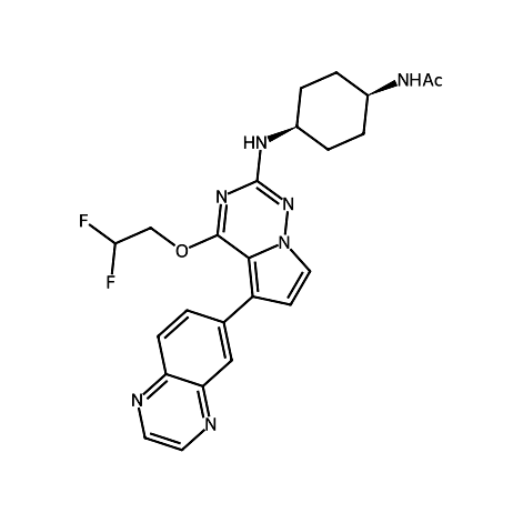 CC(=O)N[C@H]1CC[C@@H](Nc2nc(OCC(F)F)c3c(-c4ccc5nccnc5c4)ccn3n2)CC1